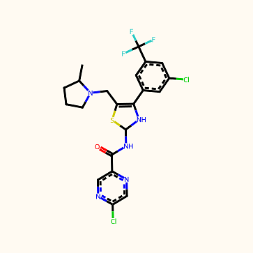 CC1CCCN1CC1=C(c2cc(Cl)cc(C(F)(F)F)c2)NC(NC(=O)c2cnc(Cl)cn2)S1